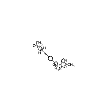 CC(=O)N1C[C@@H]2C(C#Cc3ccc(-c4cc([C@@H](CN)n5ccnc5[C@H](C)O)no4)cc3)[C@@H]2C1